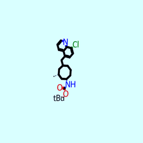 C[C@@H]1CC(Cc2ccc(Cl)c3ncccc23)CCC[C@H](NC(=O)OC(C)(C)C)C1